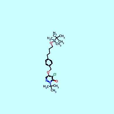 CC(C)(C)n1ncc(OCc2ccc(CCCCO[Si](C)(C)C(C)(C)C)cc2)c(Cl)c1=O